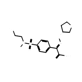 CCN(CCO)S(=O)(=O)c1ccc(/C(=N\O[C@@H]2CCOC2)C(=O)NC)cc1